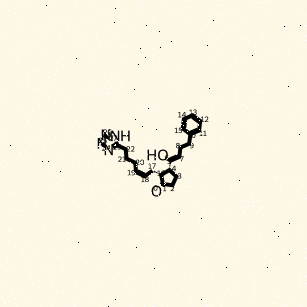 O=C1CC[C@@H](C(O)=CCCc2ccccc2)[C@H]1C/C=C\CCCc1nnn[nH]1